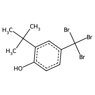 CC(C)(C)c1cc(C(Br)(Br)Br)ccc1O